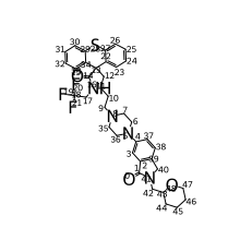 O=C1c2cc(N3CCN(CCCCC4(C(=O)NCC(F)(F)F)c5ccccc5Sc5ccccc54)CC3)ccc2CN1CC1CCCCO1